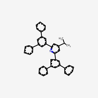 CC(C)c1cc(-c2cc(-c3ccccc3)cc(-c3ccccc3)c2)nc(-c2cc(-c3ccccc3)cc(-c3ccccc3)c2)c1